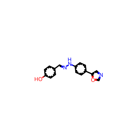 Oc1ccc(C=NNc2ccc(-c3cnco3)cc2)cc1